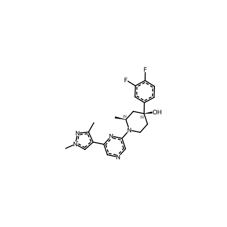 Cc1nn(C)cc1-c1cncc(N2CC[C@@](O)(c3ccc(F)c(F)c3)C[C@@H]2C)n1